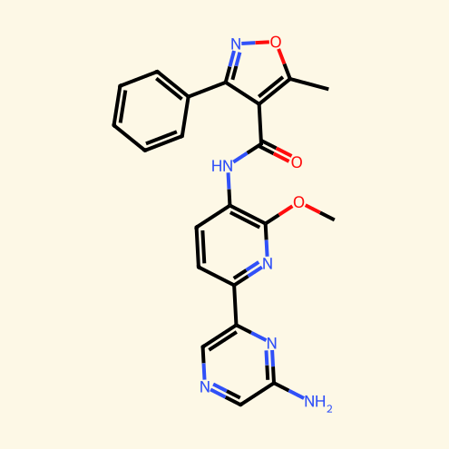 COc1nc(-c2cncc(N)n2)ccc1NC(=O)c1c(-c2ccccc2)noc1C